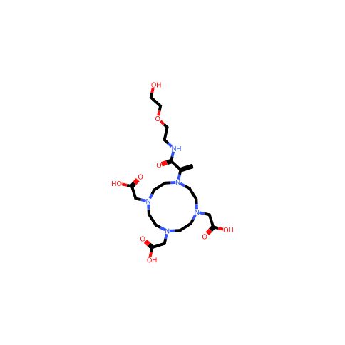 C=C(C(=O)NCCOCCO)N1CCN(CC(=O)O)CCN(CC(=O)O)CCN(CC(=O)O)CC1